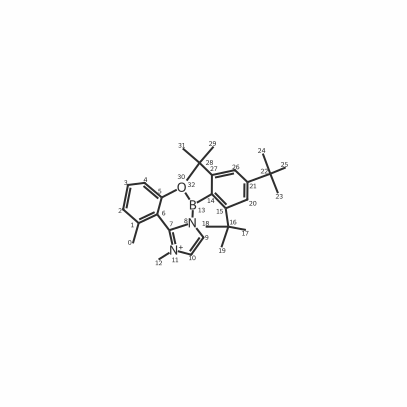 Cc1cccc2c1-c1n(cc[n+]1C)B(c1c(C(C)(C)C)cc(C(C)(C)C)cc1C(C)(C)C)O2